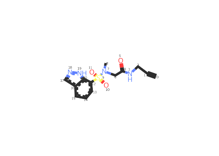 C#CCNC(=O)CN(C)S(=O)(=O)c1cccc2cn[nH]c12